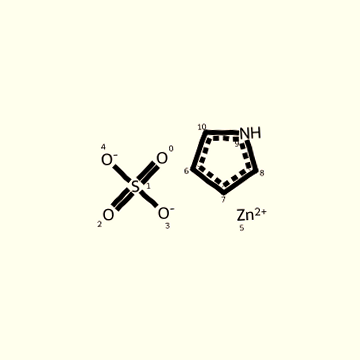 O=S(=O)([O-])[O-].[Zn+2].c1cc[nH]c1